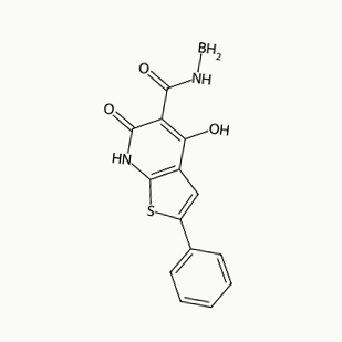 BNC(=O)c1c(O)c2cc(-c3ccccc3)sc2[nH]c1=O